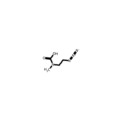 CN(CCN=[N+]=[N-])C(=O)O